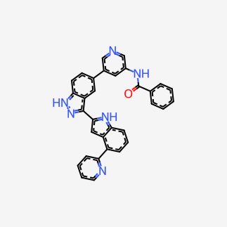 O=C(Nc1cncc(-c2ccc3[nH]nc(-c4cc5c(-c6ccccn6)cccc5[nH]4)c3c2)c1)c1ccccc1